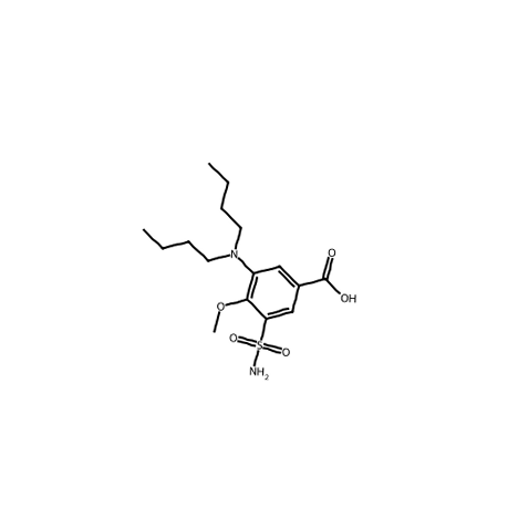 CCCCN(CCCC)c1cc(C(=O)O)cc(S(N)(=O)=O)c1OC